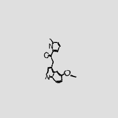 CCOc1ccc2nccc(CC(=O)c3cccc(C)n3)c2c1